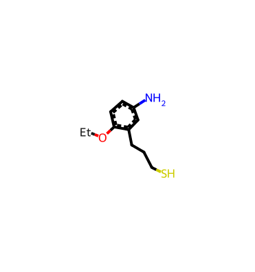 CCOc1ccc(N)cc1CCCS